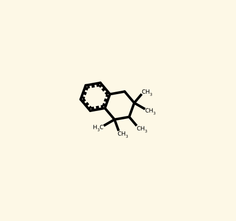 CC1C(C)(C)Cc2ccccc2C1(C)C